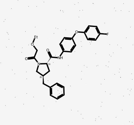 CCOCC(=O)N1C[C@H](Cc2ccccc2)C[C@H]1C(=O)Nc1ccc(Oc2ccc(F)cc2)cc1